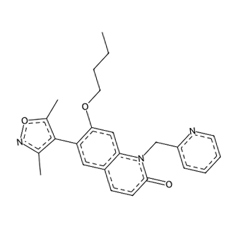 CCCCOc1cc2c(ccc(=O)n2Cc2ccccn2)cc1-c1c(C)noc1C